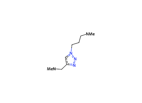 CNCCCn1cc(CNC)nn1